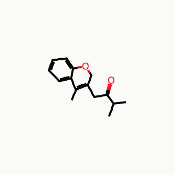 CC1=C(CC(=O)C(C)C)COc2ccccc21